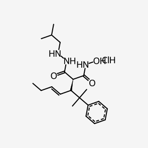 CCC=CC([C@H](C(=O)NO)C(=O)NNCC(C)C)C(C)(C)c1ccccc1.Cl